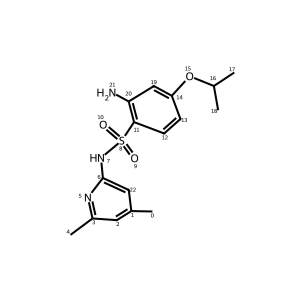 Cc1cc(C)nc(NS(=O)(=O)c2ccc(OC(C)C)cc2N)c1